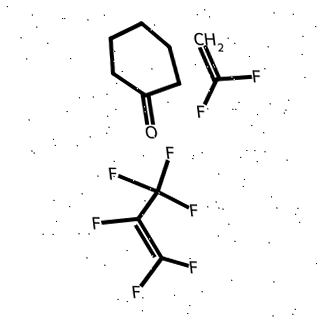 C=C(F)F.FC(F)=C(F)C(F)(F)F.O=C1CCCCC1